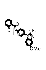 COc1ccc2c(c1)nc(C(F)(F)F)n2-c1ccc(NC(=O)c2ccccc2Cl)nc1